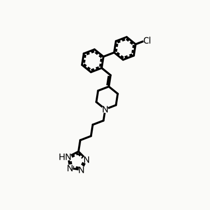 Clc1ccc(-c2ccccc2C=C2CCN(CCCCc3nnn[nH]3)CC2)cc1